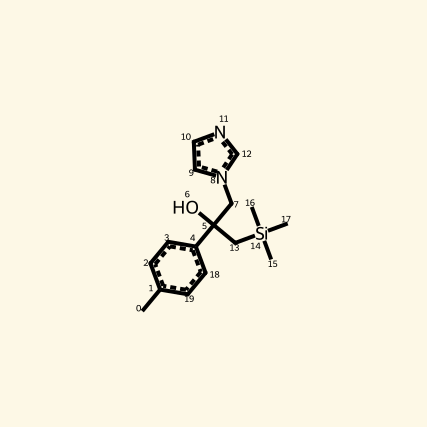 Cc1ccc(C(O)(Cn2ccnc2)C[Si](C)(C)C)cc1